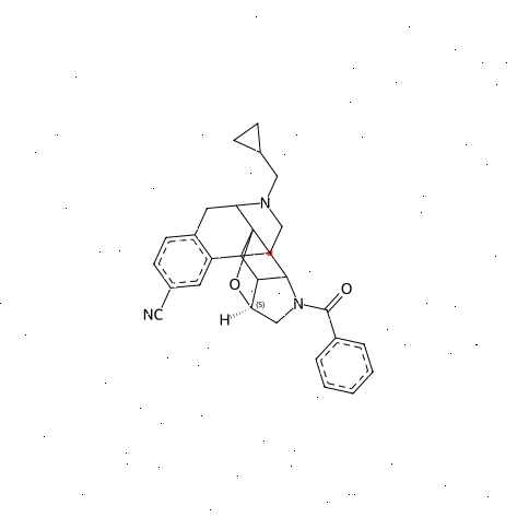 N#Cc1ccc2c(c1)C13CCN(CC4CC4)C(C2)C12CCC1C3[C@@H](CN1C(=O)c1ccccc1)O2